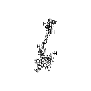 COc1ccc(C(OC[C@H]2O[C@@H](n3ccc(NCCOCCOCCNC(=O)Cn4cc(Br)c(=O)[nH]c4=O)nc3=O)C[C@@H]2OP(OCCC#N)N(C(C)C)C(C)C)(c2ccccc2)c2ccc(OC)cc2)cc1